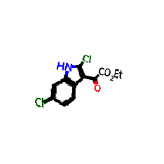 CCOC(=O)C(=O)c1c(Cl)[nH]c2cc(Cl)ccc12